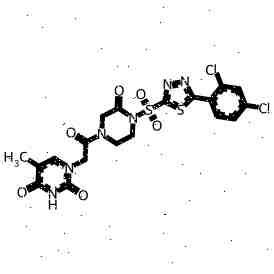 Cc1cn(CC(=O)N2CCN(S(=O)(=O)c3nnc(-c4ccc(Cl)cc4Cl)s3)C(=O)C2)c(=O)[nH]c1=O